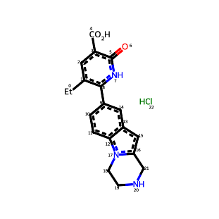 CCc1cc(C(=O)O)c(=O)[nH]c1-c1ccc2c(c1)cc1n2CCNC1.Cl